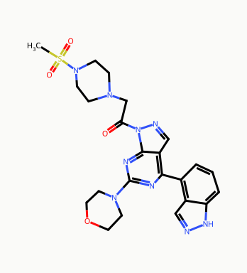 CS(=O)(=O)N1CCN(CC(=O)n2ncc3c(-c4cccc5[nH]ncc45)nc(N4CCOCC4)nc32)CC1